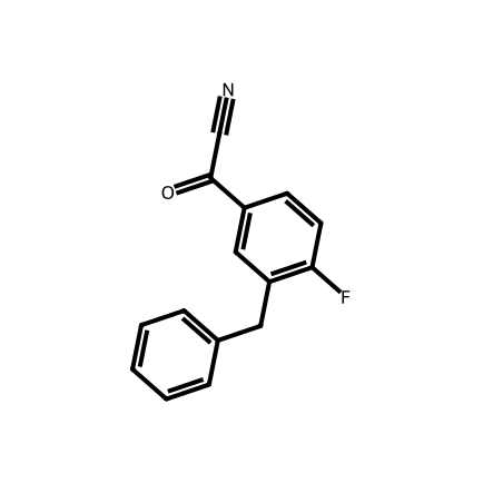 N#CC(=O)c1ccc(F)c(Cc2ccccc2)c1